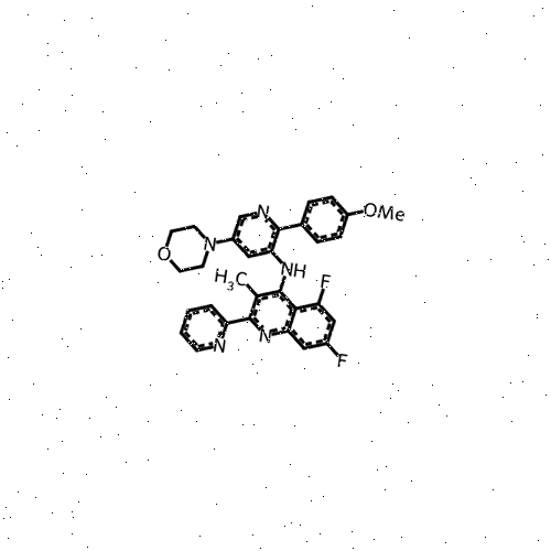 COc1ccc(-c2ncc(N3CCOCC3)cc2Nc2c(C)c(-c3ccccn3)nc3cc(F)cc(F)c23)cc1